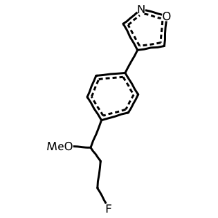 COC(CCF)c1ccc(-c2cnoc2)cc1